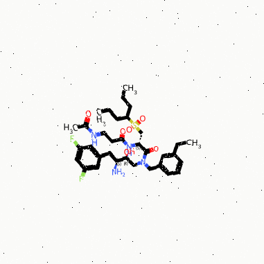 CCCC(CCC)S(=O)(=O)C[C@@H](NC(=O)CCNC(C)=O)C(=O)N(Cc1cccc(CC)c1)C[C@@H](O)[C@@H](N)Cc1cc(F)cc(F)c1